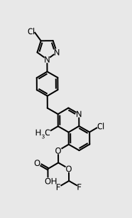 Cc1c(Cc2ccc(-n3cc(Cl)cn3)cc2)cnc2c(Cl)ccc(OC(OC(F)F)C(=O)O)c12